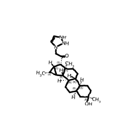 C[C@H]1C2[C@H]1[C@H](C(=O)CN1C=CNN1)[C@@]1(C)CC[C@H]3[C@@H](CC[C@@H]4C[C@](C)(O)CC[C@@H]43)[C@H]21